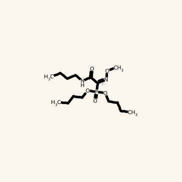 CCCCNC(=O)/C(=N\OC)P(=O)(OCCCC)OCCCC